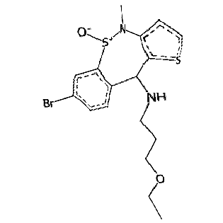 CCOCCCNC1c2ccc(Br)cc2[S+]([O-])N(C)c2ccsc21